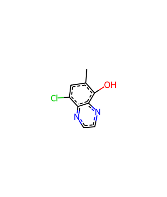 Cc1cc(Cl)c2nccnc2c1O